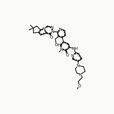 COCCN1CCN(c2ccc(Nc3cc(-c4ccnc(-n5ncn6c7c(cc6c5=O)CC(C)(C)C7)c4CO)cn(C)c3=O)nc2)CC1